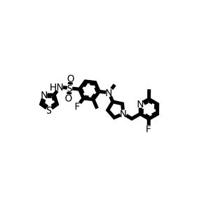 Cc1ccc(F)c(CN2CCC(N(C)c3ccc(S(=O)(=O)Nc4cscn4)c(F)c3C)C2)n1